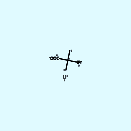 CC(C)C(C)(C)C(=O)[O-].[Li+]